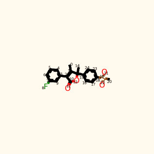 CC1=C(c2cccc(F)c2)C(=O)OC1(C)c1ccc(S(C)(=O)=O)cc1